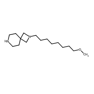 COCCCCCCCCN1CC2(CCNCC2)C1